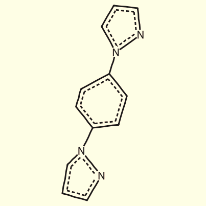 c1cnn(-c2ccc(-n3cccn3)cc2)c1